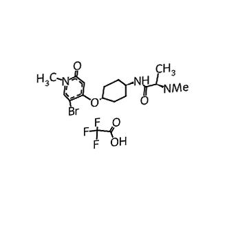 CN[C@H](C)C(=O)N[C@H]1CC[C@H](Oc2cc(=O)n(C)cc2Br)CC1.O=C(O)C(F)(F)F